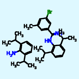 CC(C)c1cccc(C(C)C)c1N.Cc1cc(Br)cc(C(=N)Nc2c(C(C)C)cccc2C(C)C)c1